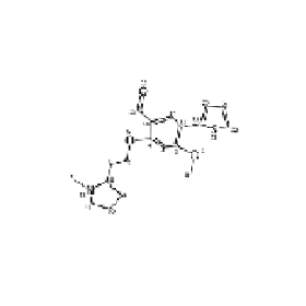 COc1cc(OCCC2CCCN2C)c(C=O)cc1-c1cccs1